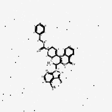 CC(c1oc(=O)c2ccccc2c1C1=CCN(C(=O)OCc2ccccc2)CC1)n1nc(I)c2c(N)ncnc21